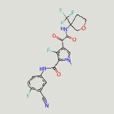 Cn1cc(C(=O)C(=O)NC2(C(F)(F)F)CCOC2)c(F)c1C(=O)Nc1ccc(F)c(C#N)c1